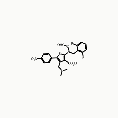 CCOC(=O)c1c(N(Cc2c(F)cccc2F)OC=O)sc(-c2ccc([N+](=O)[O-])cc2)c1CN(C)C